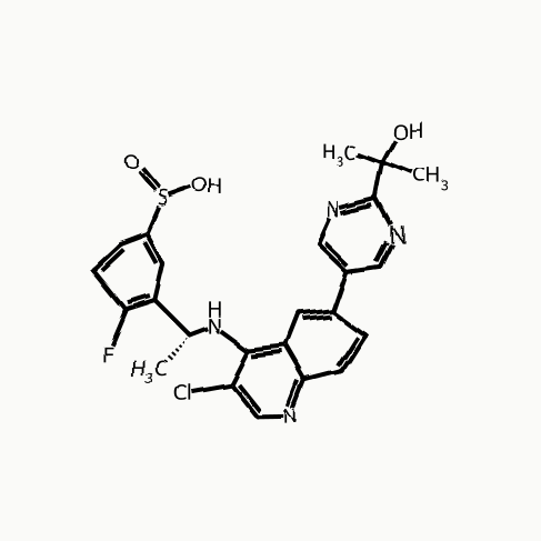 C[C@@H](Nc1c(Cl)cnc2ccc(-c3cnc(C(C)(C)O)nc3)cc12)c1cc(S(=O)O)ccc1F